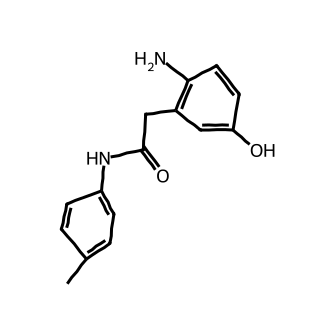 Cc1ccc(NC(=O)Cc2cc(O)ccc2N)cc1